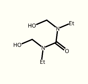 CCN(CO)C(=O)N(CC)CO